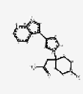 NC(=O)CC1(n2cc(-c3c[nH]c4ncccc34)cn2)CC[S+]([O-])CC1